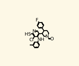 Cc1cccc(Nc2c(C3CN(C=O)CCC3c3ccc(F)cc3)cnc(S)c2Cl)c1